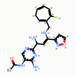 CCC(=O)Nc1cnc(C(N)/C=C(\NCC2=CCC=CC=C2F)c2ccon2)nc1N